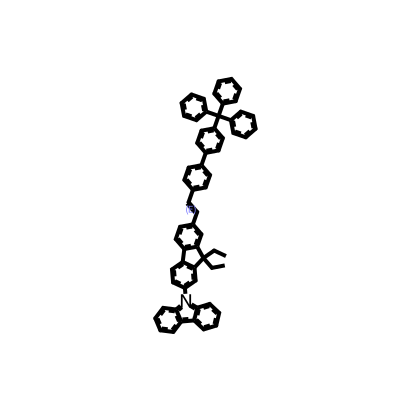 CCC1(CC)c2cc(/C=C/c3ccc(-c4ccc(C(c5ccccc5)(c5ccccc5)c5ccccc5)cc4)cc3)ccc2-c2ccc(-n3c4ccccc4c4ccccc43)cc21